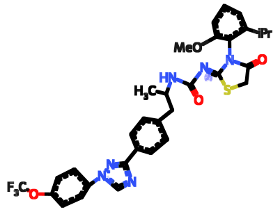 COc1cccc(C(C)C)c1N1C(=O)CS/C1=N\C(=O)NC(C)Cc1ccc(-c2ncn(-c3ccc(OC(F)(F)F)cc3)n2)cc1